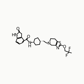 CC(F)(F)COc1nc2c(s1)CCN(CC[C@H]1CC[C@H](NC(=O)c3cccc4c3CC(=O)N4)CC1)C2